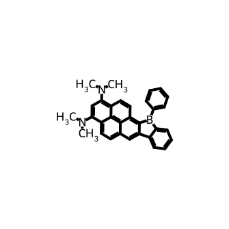 CN(C)c1cc(N(C)C)c2ccc3c4c(cc5ccc1c2c53)-c1ccccc1B4c1ccccc1